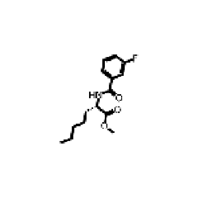 CCCCC[C@H](NC(=O)c1cccc(F)c1)C(=O)OC